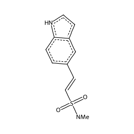 CNS(=O)(=O)/C=C/c1ccc2[nH]ccc2c1